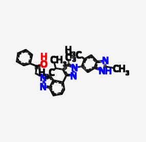 Cc1nc2cc(C)c(-n3nc(-c4cccc5nn(C[C@H](O)c6ccccc6)cc45)c(C(C)C)c3C)cc2[nH]1